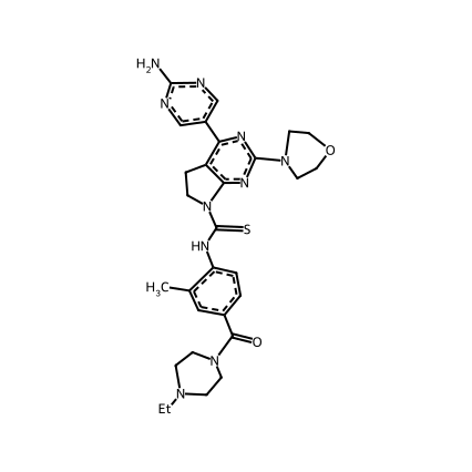 CCN1CCN(C(=O)c2ccc(NC(=S)N3CCc4c(-c5cnc(N)nc5)nc(N5CCOCC5)nc43)c(C)c2)CC1